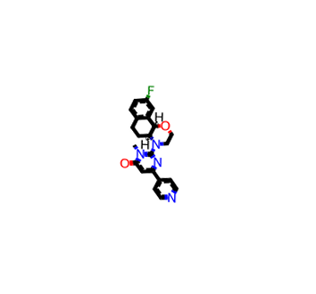 Cn1c(N2CCO[C@@H]3c4cc(F)ccc4CC[C@@H]32)nc(-c2ccncc2)cc1=O